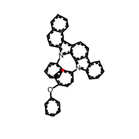 c1ccc(Oc2ccc(-n3c4ccccc4c4ccc5c6c7ccccc7ccc6n(-c6ccccc6)c5c43)cc2)cc1